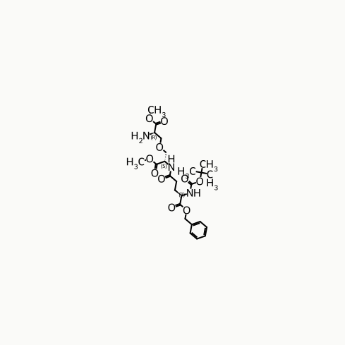 COC(=O)[C@H](N)COC[C@H](NC(=O)CC[C@@H](NC(=O)OC(C)(C)C)C(=O)OCc1ccccc1)C(=O)OC